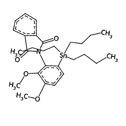 CCC[CH2][Sn]([CH2]CCC)([CH2]CCC)[c]1ccc(OC)c(OC)c1N1C(=O)c2ccccc2C1=O